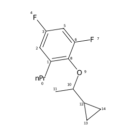 CCCc1cc(F)cc(F)c1OC(C)C1CC1